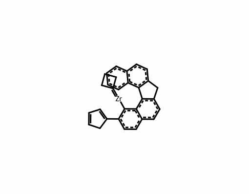 C1=CCC(c2ccc3ccc4c(c3[c]2[Zr]=[C]2CCC2)-c2c(ccc3ccccc23)C4)=C1